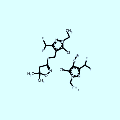 CCn1nc(C(F)F)c(CBr)c1Cl.CCn1nc(C(F)F)c(CSC2=NOC(C)(C)C2)c1Cl